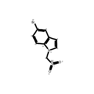 O=[SH](=O)Cn1ccc2cc(Br)ccc21